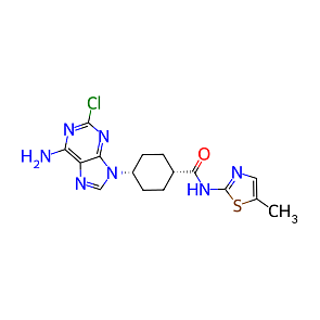 Cc1cnc(NC(=O)[C@H]2CC[C@@H](n3cnc4c(N)nc(Cl)nc43)CC2)s1